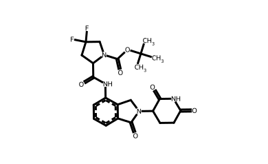 CC(C)(C)OC(=O)N1CC(F)(F)CC1C(=O)Nc1cccc2c1CN(C1CCC(=O)NC1=O)C2=O